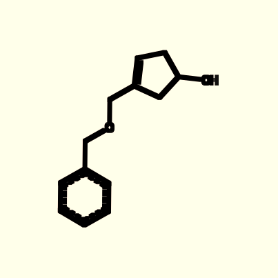 OC1CC=C(COCc2ccccc2)C1